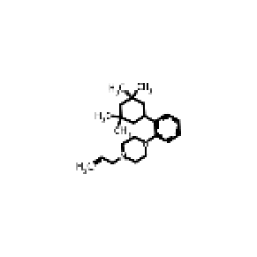 C=CCN1CCN(c2ccccc2C2CC(C)(C)CC(C)(C)C2)CC1